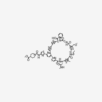 CNC(=O)C[C@@H]1NC(=O)c2csc(n2)-c2ccc(-c3nc(NC(=O)N4CCC(C(=O)OC)CC4)cs3)nc2-c2csc(n2)-c2csc(n2)[C@H]([C@@H](O)c2ccccc2)NC(=O)CNC(=O)c2nc(sc2COC)[C@H](C(C)C)NC(=O)c2nc1sc2C